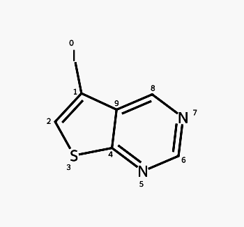 Ic1csc2ncncc12